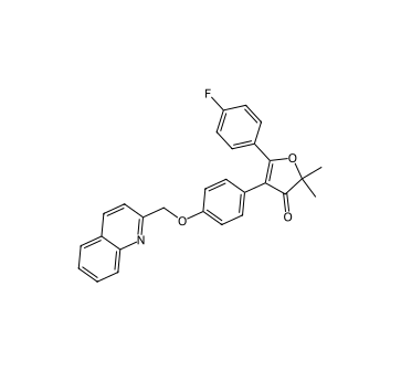 CC1(C)OC(c2ccc(F)cc2)=C(c2ccc(OCc3ccc4ccccc4n3)cc2)C1=O